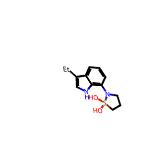 CCc1c[nH]c2c(N3CCCS3(O)O)cccc12